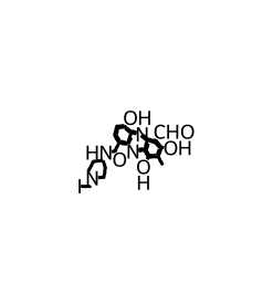 Cc1c(O)c(C=O)c2nc3c(O)ccc(C(=O)NC4CCN(CI)CC4)c3nc2c1O